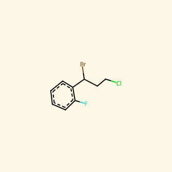 Fc1ccccc1C(Br)CCCl